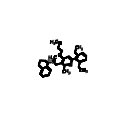 CCc1cccc(CC)c1-c1cc(OCCOC)c(CN(C)[C@H]2CCCc3ccccc32)c(C)n1